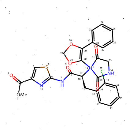 COC(=O)c1csc(NC(=O)[C@H](Cc2ccccc2Cl)[N+]2(C3=C(c4ccccc4)OCO3)C(=O)CNC2=O)n1